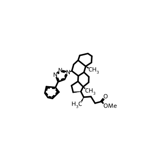 COC(=O)CC[C@@H](C)[C@H]1CCC2C3C(CC[C@@]21C)[C@@]1(C)CCCCC1C[C@@H]3n1cc(-c2ccccc2)nn1